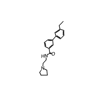 CCc1cccc(-c2cccc(C(=O)NCCN3CCCC3)c2)c1